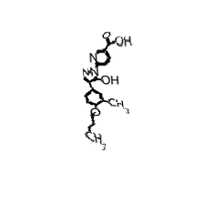 CCCCOc1ccc(-c2cnn(-c3ccc(C(=O)O)cn3)c2O)cc1C